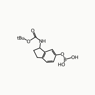 CC(C)(C)OC(=O)NC1CCc2ccc(OB(O)O)cc21